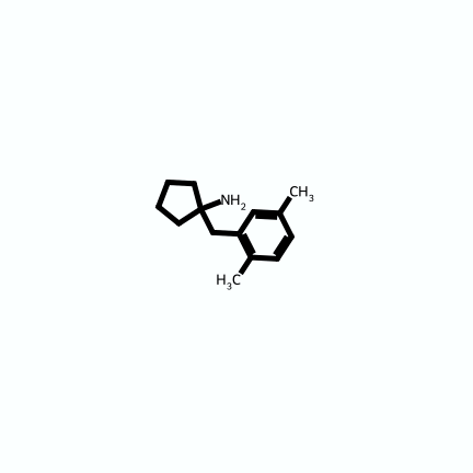 Cc1ccc(C)c(CC2(N)CCCC2)c1